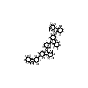 c1cc(-n2c3ccccc3c3cc(-n4c5ccccc5c5cccnc54)ccc32)nc(-n2c3ccc(-c4ccc5oc6ccccc6c5c4)cc3c3cccnc32)c1